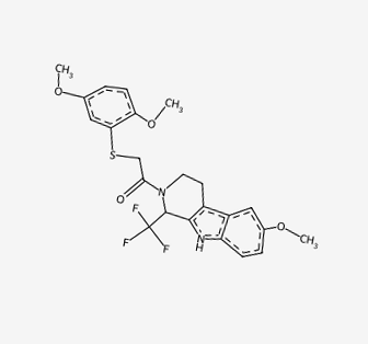 COc1ccc(OC)c(SCC(=O)N2CCc3c([nH]c4ccc(OC)cc34)C2C(F)(F)F)c1